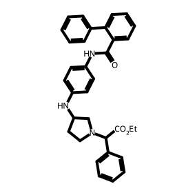 CCOC(=O)C(c1ccccc1)N1CCC(Nc2ccc(NC(=O)c3ccccc3-c3ccccc3)cc2)C1